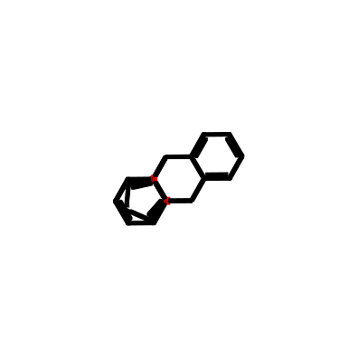 c1ccc2c(c1)C1c3ccccc3C2c2cscc21